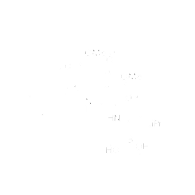 COC(=O)C1C(c2ccccc2)N[C@@H](C(=O)NC(CC(C)C)B(O)O)C1C(=O)OC